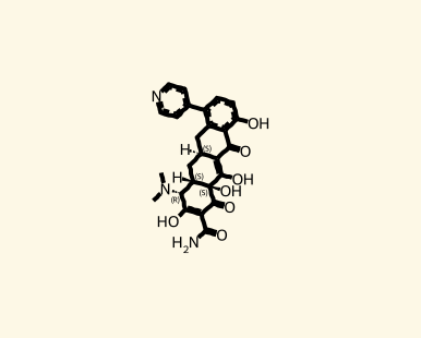 CN(C)[C@H]1C(O)=C(C(N)=O)C(=O)[C@@]2(O)C(O)=C3C(=O)c4c(O)ccc(-c5ccncc5)c4C[C@@H]3C[C@@H]12